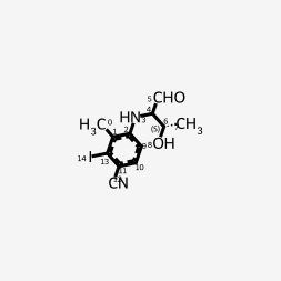 Cc1c(NC(C=O)[C@H](C)O)ccc(C#N)c1I